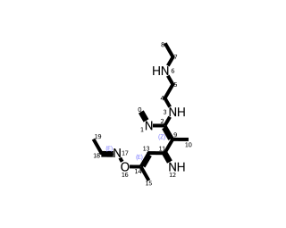 C=N/C(NCCNCC)=C(/C)C(=N)/C=C(\C)O/N=C/C